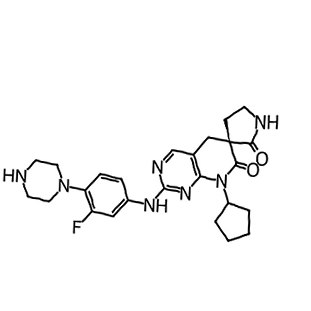 O=C1NCC[C@@]12Cc1cnc(Nc3ccc(N4CCNCC4)c(F)c3)nc1N(C1CCCC1)C2=O